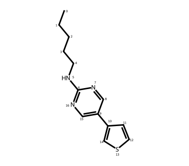 CCCCCNc1ncc(-c2ccsc2)cn1